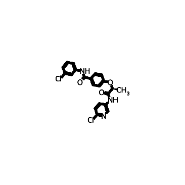 C[C@H](Oc1ccc(C(=O)Nc2cccc(Cl)c2)cc1)C(=O)Nc1ccc(Cl)nc1